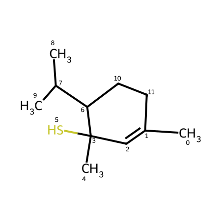 CC1=CC(C)(S)C(C(C)C)CC1